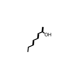 C=C(O)C=CC=CCC